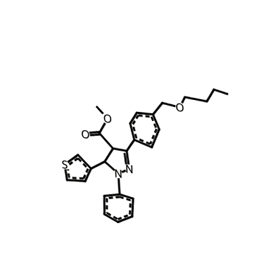 CCCCOCc1ccc(C2=NN(c3ccccc3)C(c3ccsc3)C2C(=O)OC)cc1